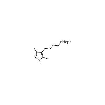 CCCCCCCCCCCc1c(C)n[nH]c1C